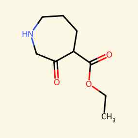 CCOC(=O)C1CCCNCC1=O